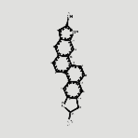 N#Cc1cc2cc3ccc4c5cc6c(cc5ccc4c3cc2o1)CC(C#N)O6